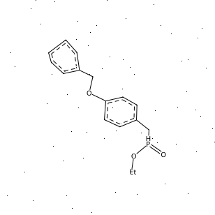 CCO[PH](=O)Cc1ccc(OCc2ccccc2)cc1